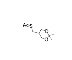 CC(=O)SCC1COC(C)(C)OC1